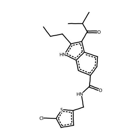 CCCc1[nH]c2cc(C(=O)NCc3ccc(Cl)s3)ccc2c1C(=O)C(C)C